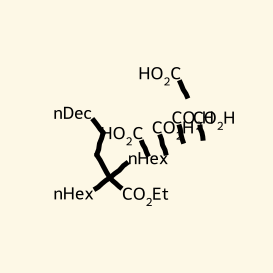 CC(=O)O.CC(=O)O.CC(=O)O.CC(=O)O.CC(=O)O.CCCCCCCCCCCCC(CCCCCC)(CCCCCC)C(=O)OCC